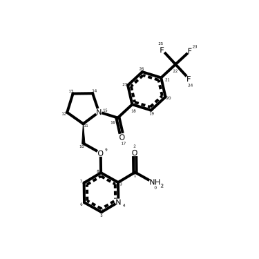 NC(=O)c1ncccc1OC[C@H]1CCCN1C(=O)c1ccc(C(F)(F)F)cc1